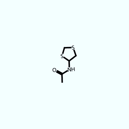 CC(=O)NC1CSCS1